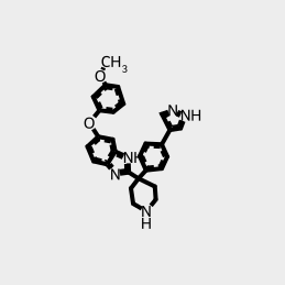 COc1cccc(Oc2ccc3nc(C4(c5ccc(-c6cn[nH]c6)cc5)CCNCC4)[nH]c3c2)c1